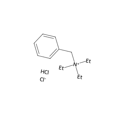 CC[N+](CC)(CC)Cc1ccccc1.Cl.[Cl-]